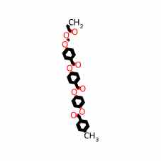 C=CC(=O)OCOc1ccc(C(=O)Oc2ccc(C(=O)Oc3ccc(OC(=O)c4ccc(C)cc4)cc3)cc2)cc1